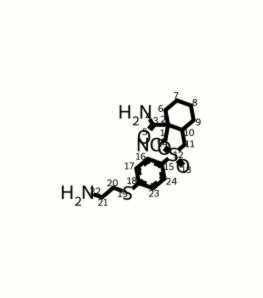 N#CCC1(C(N)=O)CCCCC1CS(=O)(=O)c1ccc(SCCN)cc1